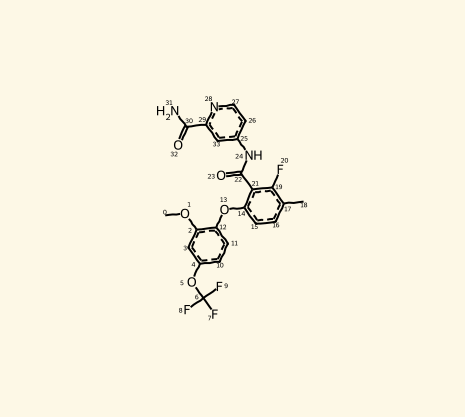 COc1cc(OC(F)(F)F)ccc1Oc1ccc(C)c(F)c1C(=O)Nc1ccnc(C(N)=O)c1